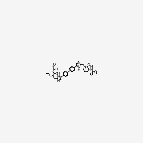 CCCN(Cc1ncc(-c2ccc(-c3ccc(-c4cnc(CN5CCC[C@@H](NC(=O)OC)C5=O)[nH]4)cc3)cc2)[nH]1)C(=O)CNC=O